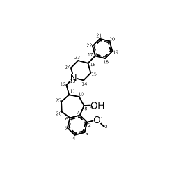 COc1cccc2c1C(O)CC(CN1CCC(c3ccccc3)CC1)CC2